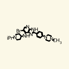 CC(C)N1CCC(Nc2c(Br)cnc3[nH]c(-c4ccc(N5CCN(C)CC5)cc4)nc23)CC1